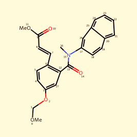 COCOc1ccc(C=CC(=O)OC)c(C(=O)N(C)c2ccc3ccccc3c2)c1